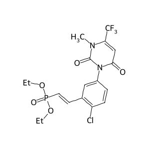 CCOP(=O)(C=Cc1cc(-n2c(=O)cc(C(F)(F)F)n(C)c2=O)ccc1Cl)OCC